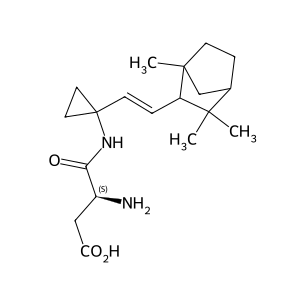 CC12CCC(C1)C(C)(C)C2C=CC1(NC(=O)[C@@H](N)CC(=O)O)CC1